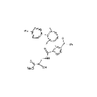 COC(=O)[C@H](O)CNC(=O)c1ccc([C@H](Oc2cc(C)c(-c3ccc(C(C)(C)C)cc3)c(C)c2)C(C)C)s1